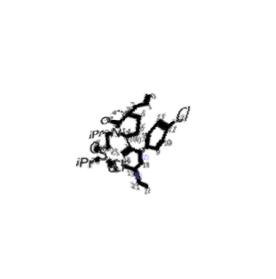 C=CC[C@@]1(C)C[C@H](c2cccc(Cl)c2)[C@@H](C(=C)/C=C\C(Cl)=C/C)N([C@H](CS(=O)(=O)C(C)C)C(C)C)C1=O